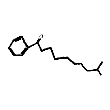 CC(C)CCCCCCCC(=O)c1ccccc1